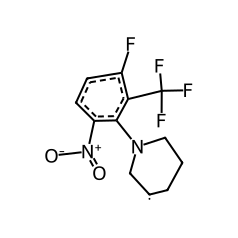 O=[N+]([O-])c1ccc(F)c(C(F)(F)F)c1N1C[CH]CCC1